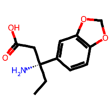 CC[C@@](N)(CC(=O)O)c1ccc2c(c1)OCO2